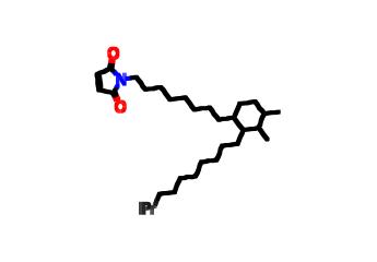 CC(C)CCCCCCCCC1C(CCCCCCCCN2C(=O)C=CC2=O)CCC(C)C1C